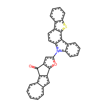 O=C1c2cc(-n3c4ccccc4c4c5sc6ccccc6c5ccc43)oc2-c2cc3cccccc-3c21